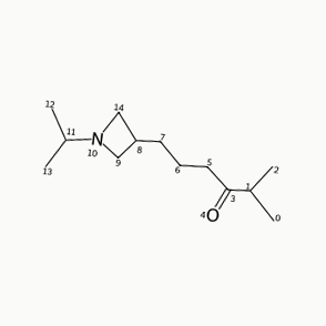 CC(C)C(=O)CCCC1CN(C(C)C)C1